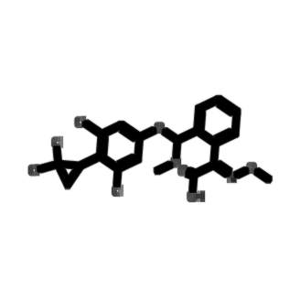 CO/N=C(/C(=O)O)c1ccccc1C(OC)Oc1cc(Cl)c(C2CC2(Cl)Cl)c(Cl)c1